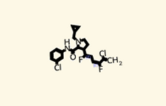 C=C(Cl)/C(F)=C\C=C(/F)C1CCN(CC2CC2)C1C(=O)Nc1cccc(Cl)c1